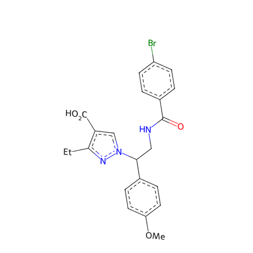 CCc1nn(C(CNC(=O)c2ccc(Br)cc2)c2ccc(OC)cc2)cc1C(=O)O